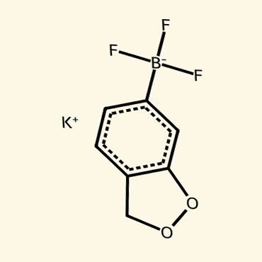 F[B-](F)(F)c1ccc2c(c1)OOC2.[K+]